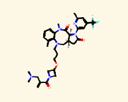 C=C(CN(C)C)C(=O)N1CC(OCCCN2C[C@H]3CC(=O)N(c4cc(C(F)(F)F)cc(C)n4)[C@@H]3C(=O)N(C)c3cccc(C)c32)C1